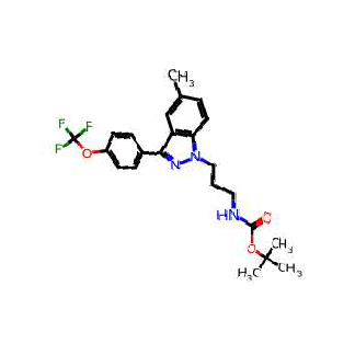 Cc1ccc2c(c1)c(-c1ccc(OC(F)(F)F)cc1)nn2CCCNC(=O)OC(C)(C)C